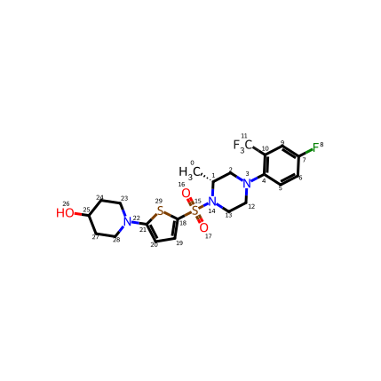 C[C@@H]1CN(c2ccc(F)cc2C(F)(F)F)CCN1S(=O)(=O)c1ccc(N2CCC(O)CC2)s1